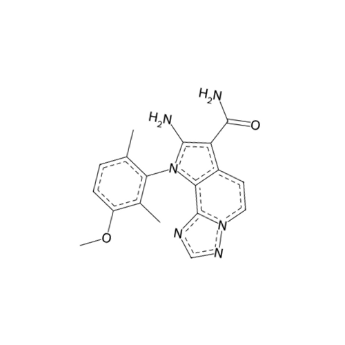 COc1ccc(C)c(-n2c(N)c(C(N)=O)c3ccn4ncnc4c32)c1C